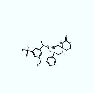 C[C@@H](OC[C@@]1(c2ccccc2)CC[C@]2(CCOC(=O)N2)CN1)c1cc(CF)cc(C(F)(F)F)c1